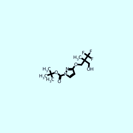 CC(C)(C)OC(=O)n1ccc(OCC(C)(CO)C(F)(F)F)n1